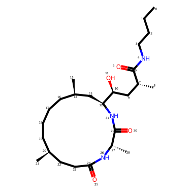 CCCCNC(=O)[C@H](C)C[C@H](O)[C@@H]1C[C@H](C)CCCC[C@H](C)CCC(=O)N[C@@H](C)C(=O)N1